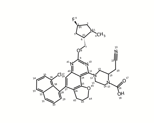 CN1C[C@H](F)C[C@H]1COc1nc(N2CCN(C(=O)O)C(CC#N)C2)c2c3c(c(-c4cccc5cccc(Cl)c45)cc2n1)CCCO3